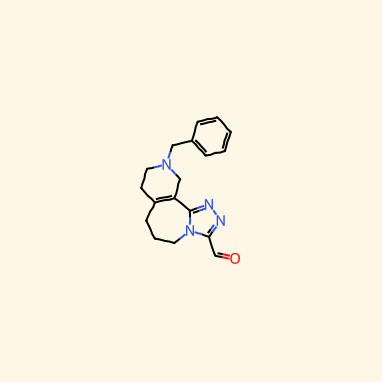 O=Cc1nnc2n1CCCC1=C2CN(Cc2ccccc2)CC1